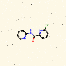 O=C(Nc1ccccn1)c1cccc(Br)n1